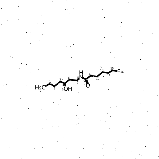 CCCCC(O)CCNC(=O)CCCCCF